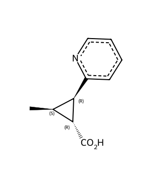 C[C@@H]1[C@@H](C(=O)O)[C@@H]1c1ccccn1